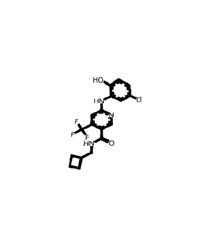 O=C(NCC1CCC1)c1cnc(Nc2cc(Cl)ccc2O)cc1C(F)(F)F